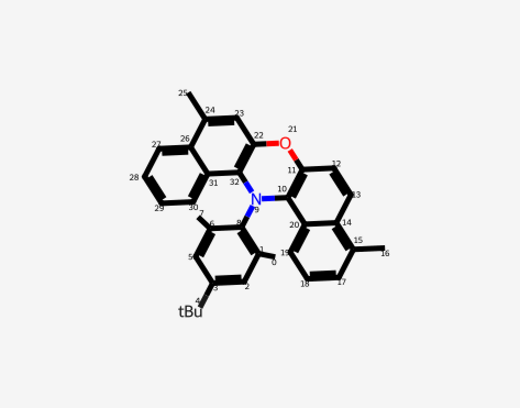 Cc1cc(C(C)(C)C)cc(C)c1N1c2c(ccc3c(C)cccc23)Oc2cc(C)c3ccccc3c21